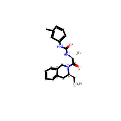 CC[C@H](C)[C@H](NC(=O)Nc1cccc(C)c1)C(=O)N1Cc2ccccc2C[C@@H]1CC(=O)O